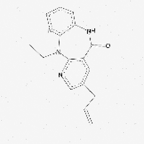 C=CCc1cnc2c(c1)C(=O)Nc1cccnc1N2CC